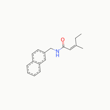 CCC(C)=CC(=O)NCc1ccc2ccccc2c1